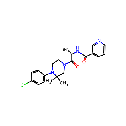 CC(C)[C@@H](NC(=O)c1cccnc1)C(=O)N1CCN(c2ccc(Cl)cc2)C(C)(C)C1